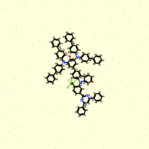 FC(F)(F)c1ccc(-c2nc(-c3ccccc3)cc(-c3ccccc3)n2)cc1-n1c2ccccc2c2cc(-c3cc4c5c(c3)N(c3ccc(-c6ccccc6)cc3)c3ccc(-c6ccccc6)cc3B5c3cc(-c5ccccc5)ccc3N4c3ccc(-c4ccccc4)cc3)ccc21